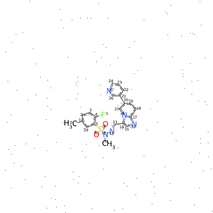 Cc1ccc(F)c(S(=O)(=O)N(C)N=Cc2cnc3ccc(-c4cccnc4)cn23)c1